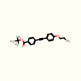 CCCOc1ccc(C#Cc2ccc(C(=O)OC(C)(C)C)cc2)cc1